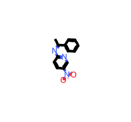 CC(=Nc1ccc([N+](=O)[O-])cn1)c1ccccc1